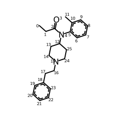 CCC(=O)N(c1ccccc1C)C1CCN(CCc2ccccc2)CC1